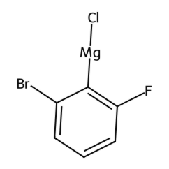 Fc1cccc(Br)[c]1[Mg][Cl]